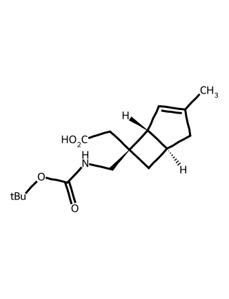 CC1=C[C@@H]2[C@@H](C1)C[C@]2(CNC(=O)OC(C)(C)C)CC(=O)O